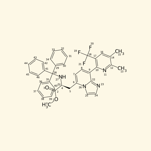 COC(=O)[C@H](Cc1ccc(-c2nc(C)c(C)cc2C(F)(F)F)c2nccn12)NC(c1ccccc1)(c1ccccc1)c1ccccc1